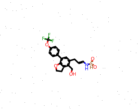 O=[SH](=O)NC=CCc1cc(-c2ccc(OC(F)(F)F)cc2)c2c(c1CO)CCO2